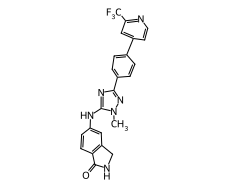 Cn1nc(-c2ccc(-c3ccnc(C(F)(F)F)c3)cc2)nc1Nc1ccc2c(c1)CNC2=O